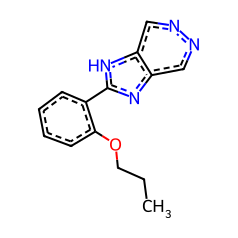 CCCOc1ccccc1-c1nc2cnncc2[nH]1